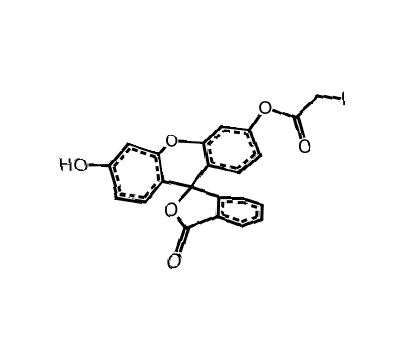 O=C(CI)Oc1ccc2c(c1)Oc1cc(O)ccc1C21OC(=O)c2ccccc21